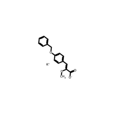 COC(=Cc1ccc(OCc2ccccc2)cc1)C(=O)[O-].[K+]